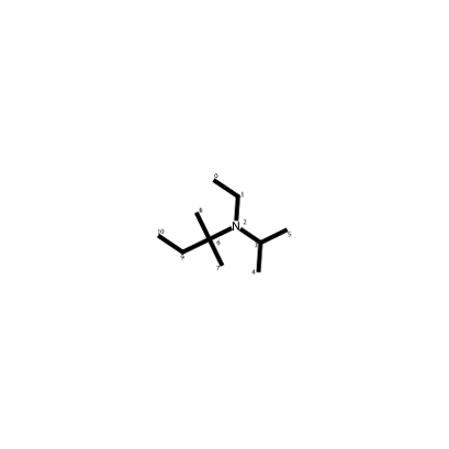 CCN(C(C)C)C(C)(C)CC